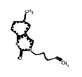 C=CCCCn1cc2cc(C)ccc2nc1=O